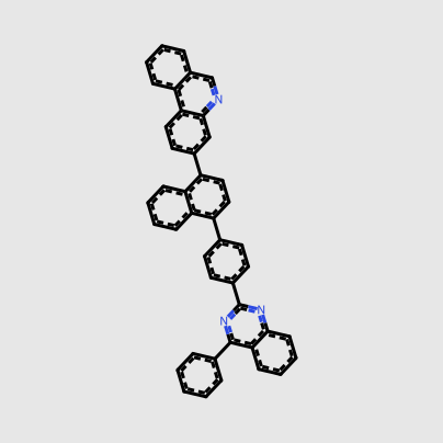 c1ccc(-c2nc(-c3ccc(-c4ccc(-c5ccc6c(c5)ncc5ccccc56)c5ccccc45)cc3)nc3ccccc23)cc1